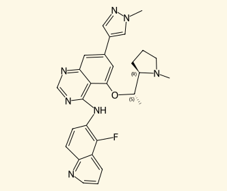 C[C@H](Oc1cc(-c2cnn(C)c2)cc2ncnc(Nc3ccc4ncccc4c3F)c12)[C@H]1CCCN1C